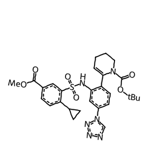 COC(=O)c1ccc(C2CC2)c(S(=O)(=O)Nc2cc(-n3cnnn3)ccc2C2=CCCCN2C(=O)OC(C)(C)C)c1